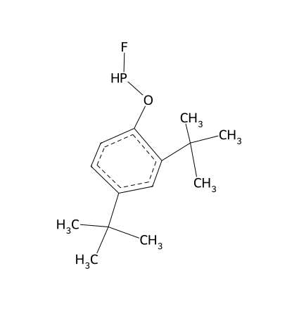 CC(C)(C)c1ccc(OPF)c(C(C)(C)C)c1